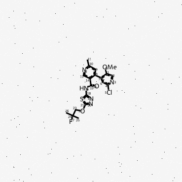 COc1cnc(Cl)cc1-c1cc(C)ncc1C(=O)Nc1nnc(OCC(C)(C)F)s1